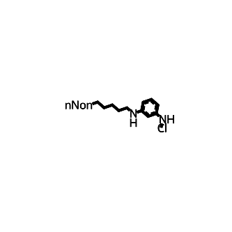 CCCCCCCCCCCCCCNc1cccc(NCl)c1